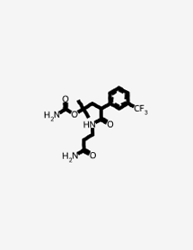 CC(C)(CC(C(=O)NCCC(N)=O)c1cccc(C(F)(F)F)c1)OC(N)=O